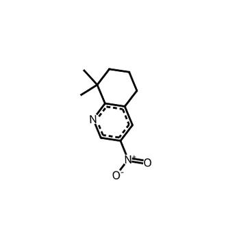 CC1(C)CCCc2cc([N+](=O)[O-])cnc21